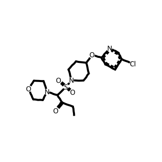 CCC(=O)C(N1CCOCC1)S(=O)(=O)N1CCC(Oc2ccc(Cl)cn2)CC1